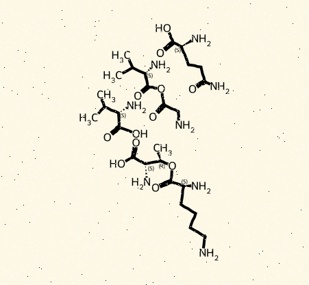 CC(C)[C@H](N)C(=O)O.CC(C)[C@H](N)C(=O)OC(=O)CN.C[C@@H](OC(=O)[C@@H](N)CCCCN)[C@H](N)C(=O)O.NC(=O)CC[C@H](N)C(=O)O